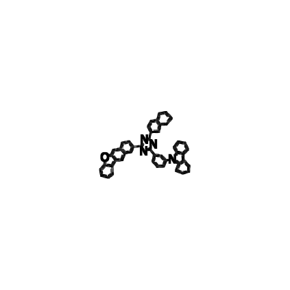 c1cc(-c2nc(-c3ccc4ccccc4c3)nc(-c3ccc4cc5oc6ccccc6c5cc4c3)n2)cc(-n2c3ccccc3c3ccccc32)c1